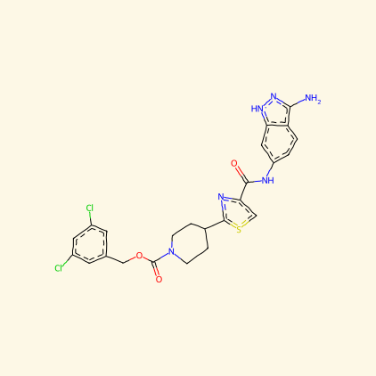 Nc1n[nH]c2cc(NC(=O)c3csc(C4CCN(C(=O)OCc5cc(Cl)cc(Cl)c5)CC4)n3)ccc12